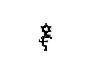 CCCC(C)(C)O[SiH2]c1ccccc1